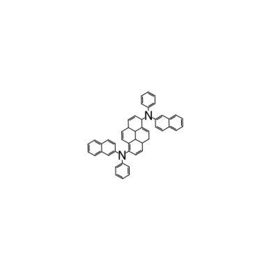 C1=CC2C=CC(N(c3ccccc3)c3ccc4ccccc4c3)C3=CCC4C=CC(N(c5ccccc5)c5ccc6ccccc6c5)=C1C4C32